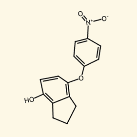 O=[N+]([O-])c1ccc(Oc2ccc(O)c3c2CCC3)cc1